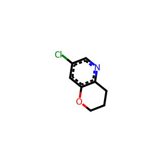 Clc1cnc2c(c1)OCCC2